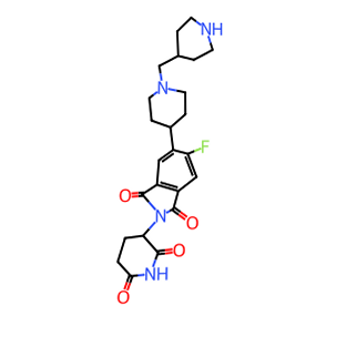 O=C1CCC(N2C(=O)c3cc(F)c(C4CCN(CC5CCNCC5)CC4)cc3C2=O)C(=O)N1